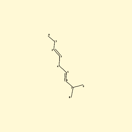 C[CH]C=CCC=CC(C)C